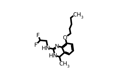 CCCCCOc1cccc2c1N=C(NCC(F)F)NC2C